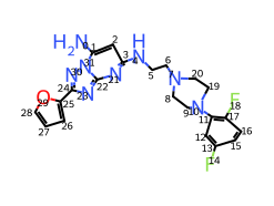 Nc1cc(NCCN2CCN(c3cc(F)ccc3F)CC2)nc2nc(-c3ccco3)nn12